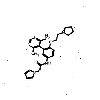 Cc1ncnc(C)c1-c1cc(NC(=O)Cn2cccc2)ccc1OCCN1CCCC1